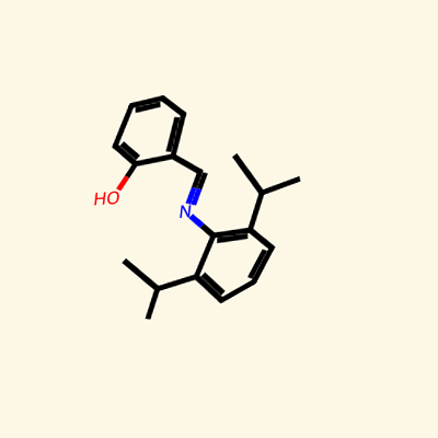 CC(C)c1cccc(C(C)C)c1N=Cc1ccccc1O